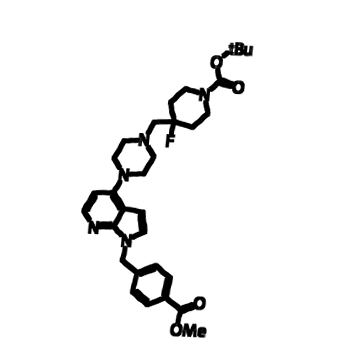 COC(=O)c1ccc(Cn2ccc3c(N4CCN(CC5(F)CCN(C(=O)OC(C)(C)C)CC5)CC4)ccnc32)cc1